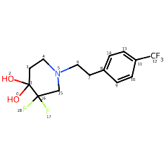 OC1(O)CCN(CCc2ccc(C(F)(F)F)cc2)CC1(F)F